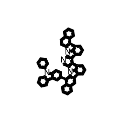 c1ccc(-n2c3ccccc3c3cc(-c4c5ccccc5cc5c6cccc7c8c9c%10cccc%11c%12c%13ccccc%13ccc%12n(c9ncc8n(c45)c67)c%11%10)ccc32)cc1